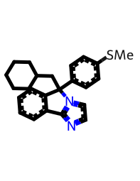 CSc1ccc(C2(CC3CCCCC3)c3ccccc3-c3nccn32)cc1